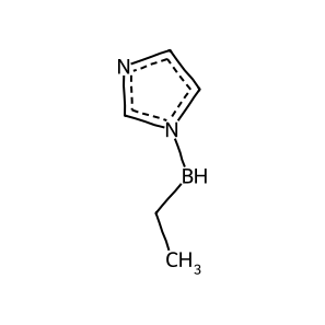 CCBn1ccnc1